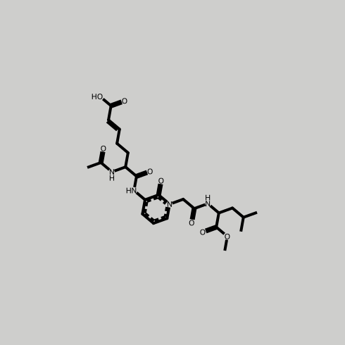 COC(=O)C(CC(C)C)NC(=O)Cn1cccc(NC(=O)C(CCC=CC(=O)O)NC(C)=O)c1=O